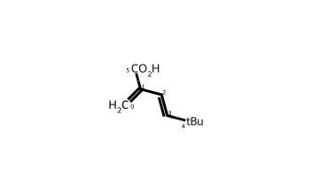 C=C(/C=C/C(C)(C)C)C(=O)O